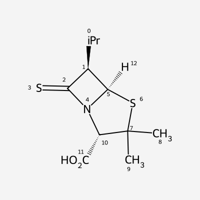 CC(C)[C@@H]1C(=S)N2[C@@H]1SC(C)(C)[C@@H]2C(=O)O